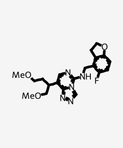 COCCC(COC)c1cnc(NCc2c(F)ccc3c2CCO3)n2cnnc12